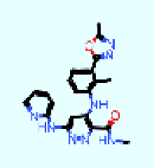 CNC(=O)c1nnc(Nc2ccccn2)cc1Nc1cccc(-c2nnc(C)o2)c1C